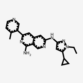 CCn1nc(Nc2cc3cc(-c4cnccc4C)nc(N)c3cn2)cc1C1CC1